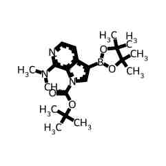 CN(C)c1nccc2c(B3OC(C)(C)C(C)(C)O3)cn(C(=O)OC(C)(C)C)c12